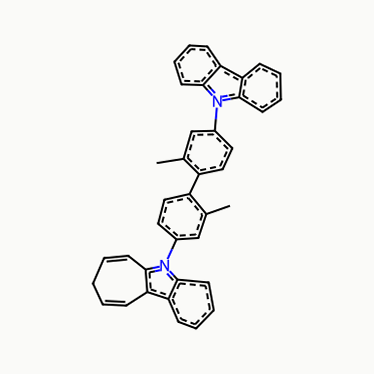 Cc1cc(-n2c3c(c4ccccc42)C=CCC=C3)ccc1-c1ccc(-n2c3ccccc3c3ccccc32)cc1C